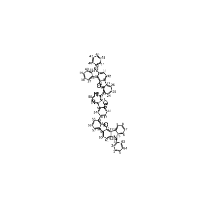 c1ccc(-n2c3ccccc3c3c4oc5c(-c6ccc7oc8c(-c9cccc%10c9oc9c%10ccc%10c9c9ccccc9n%10-c9ccccc9)ncnc8c7c6)cccc5c4ccc32)cc1